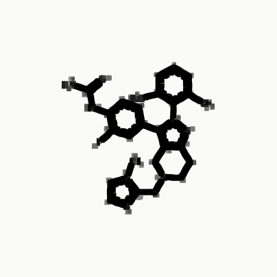 Cc1cccc(OCC(C)C)c1-n1nc2c(c1-c1ccc(NC(N)=O)c(F)c1)CN(Cc1nccn1C)CC2